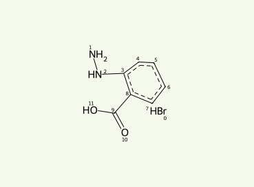 Br.NNc1ccccc1C(=O)O